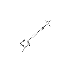 Cc1nc(C#CC#C[Si](C)(C)C)cs1